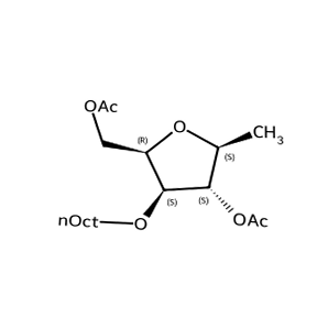 CCCCCCCCO[C@@H]1[C@@H](OC(C)=O)[C@H](C)O[C@@H]1COC(C)=O